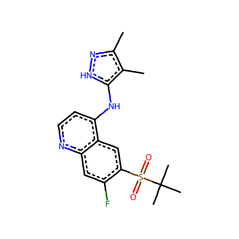 Cc1n[nH]c(Nc2ccnc3cc(F)c(S(=O)(=O)C(C)(C)C)cc23)c1C